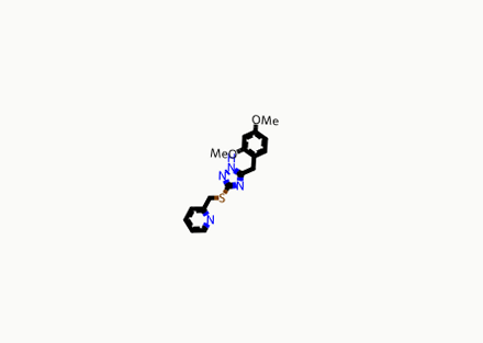 COc1ccc(Cc2nc(SCc3ccccn3)n[nH]2)c(OC)c1